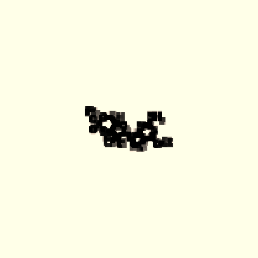 CCOc1nc(N)nc2c1ncn2[C@@H]1O[C@@H]2CO[P@](=O)(OC(C)C)O[C@H]2C1(Cl)Cl